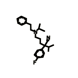 CC(C)N(CCCC(C#N)(c1ccc(F)cc1)C(C)C)CCc1ccccc1